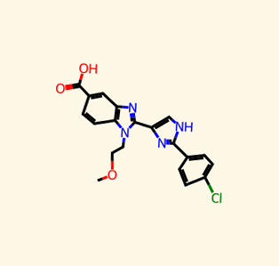 COCCn1c(-c2c[nH]c(-c3ccc(Cl)cc3)n2)nc2cc(C(=O)O)ccc21